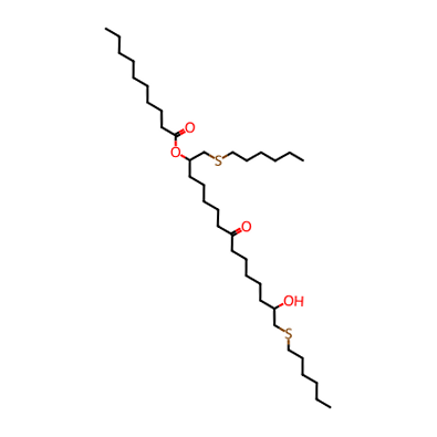 CCCCCCCCCC(=O)OC(CCCCCC(=O)CCCCCC(O)CSCCCCCC)CSCCCCCC